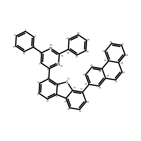 c1ccc(-c2cc(-c3cccc4c3sc3c(-c5ccc6c(ccc7ccccc76)c5)cccc34)nc(-c3ccccc3)n2)cc1